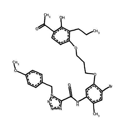 CCCc1c(OCCCOc2cc(NC(=O)c3nnnn3Cc3ccc(OC)cc3)c(C)cc2Br)ccc(C(C)=O)c1O